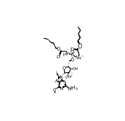 CCCCCOC(=O)[C@H](C)NP(=O)(N[C@@H](C)C(=O)OCCCCC)OC[C@H]1O[C@@H](n2c(I)nc3c(OC)nc(N)nc32)[C@](C)(O)[C@@H]1O